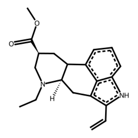 C=Cc1[nH]c2cccc3c2c1C[C@@H]1C3C[C@H](C(=O)OC)CN1CC